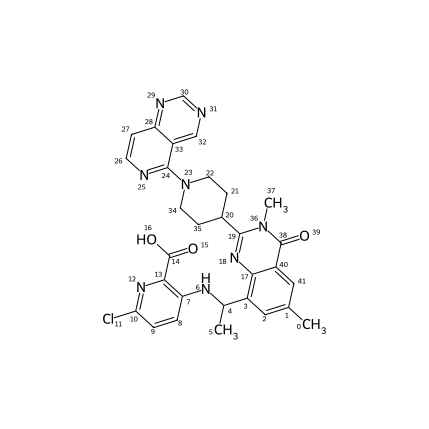 Cc1cc(C(C)Nc2ccc(Cl)nc2C(=O)O)c2nc(C3CCN(c4nccc5ncncc45)CC3)n(C)c(=O)c2c1